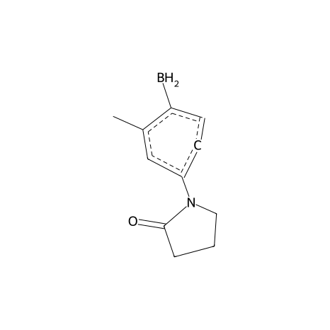 Bc1ccc(N2CCCC2=O)cc1C